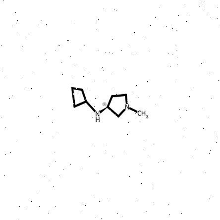 CN1CC[C@H](NC2CCC2)C1